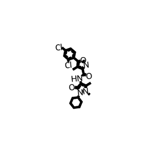 Cc1c(C(=O)Nc2c(C)n(C)n(C3CCCCC3)c2=O)noc1-c1ccc(Cl)cc1Cl